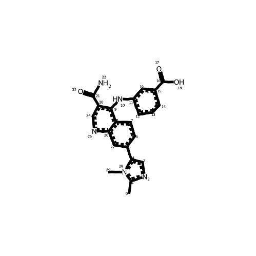 Cc1ncc(-c2ccc3c(Nc4cccc(C(=O)O)c4)c(C(N)=O)cnc3c2)n1C